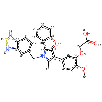 COc1ccc(-c2c(C)n(Cc3ccc4nsnc4c3)c3c2oc2ccccc23)cc1OCC(=O)O